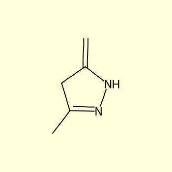 C=C1CC(C)=NN1